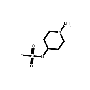 CC(C)S(=O)(=O)NC1CCN(N)CC1